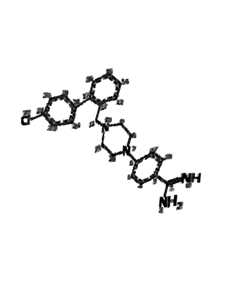 N=C(N)c1ccc(N2CCN(Cc3ccccc3-c3ccc(Cl)cc3)CC2)cc1